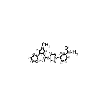 Cn1cc(C(=O)N2CCN(c3cccc(C(N)=O)c3)CC2)c(-c2ccccc2)c1